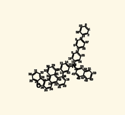 c1ccc(-c2ccc(-c3ccc(N(c4cccc(-c5cccc6c7ccc8oc9ccccc9c8c7c7ccccc7c56)c4)c4ccc5ccccc5c4)cc3)cc2)cc1